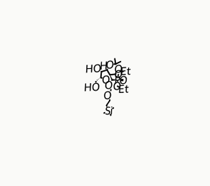 CCOP(=O)(OCC)C(OCOCC[Si](C)(C)C)[C@]12COC(C)(C)O[C@H]1[C@H](O)[C@@H](CO)O2